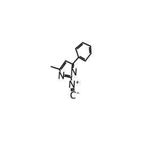 [C-]#[N+]c1nc(C)cc(-c2ccccc2)n1